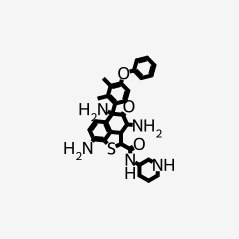 Cc1c(Oc2ccccc2)ccc(C2(N)C(=O)C(N)C3c4c2ccc(N)c4SC3C(=O)NC2CCCNC2)c1C